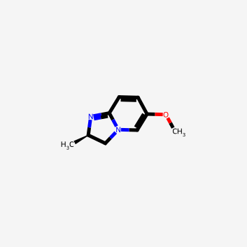 COC1=CN2C[C@@H](C)N=C2C=C1